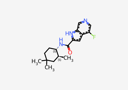 C[C@H]1CC(C)(C)CC[C@@H]1NC(=O)c1cc2c(F)cncc2[nH]1